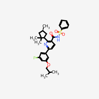 CC(C)COc1cc(F)cc(-c2ccc(C(=O)NS(=O)(=O)c3ccccc3)c(C3C[C@H](C)CC3(C)C)n2)c1